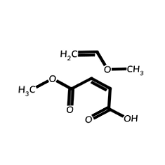 C=COC.COC(=O)/C=C\C(=O)O